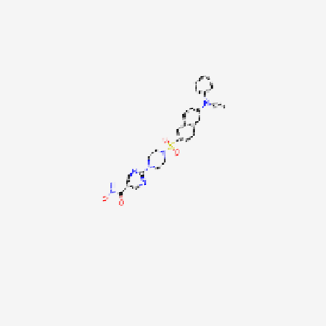 CN(c1ccccc1)c1ccc2cc(S(=O)(=O)N3CCN(c4ncc(C(=O)NO)cn4)CC3)ccc2c1